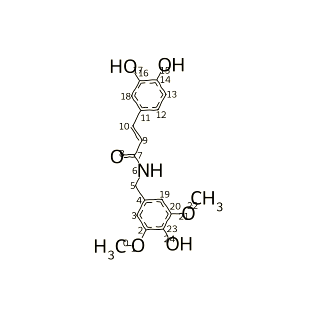 COc1cc(CNC(=O)C=Cc2ccc(O)c(O)c2)cc(OC)c1O